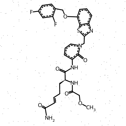 COCC(=O)N[C@@H](CC/C=C/C(N)=O)C(=O)Nc1cccn(Cc2nc3cccc(OCc4ccc(F)cc4F)c3s2)c1=O